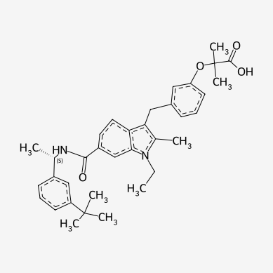 CCn1c(C)c(Cc2cccc(OC(C)(C)C(=O)O)c2)c2ccc(C(=O)N[C@@H](C)c3cccc(C(C)(C)C)c3)cc21